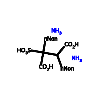 CCCCCCCCCC(C(=O)O)C(CCCCCCCCC)(C(=O)O)S(=O)(=O)O.N.N